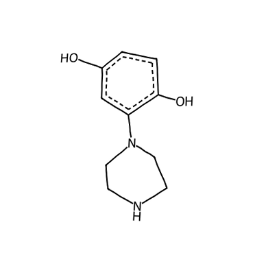 Oc1ccc(O)c(N2CCNCC2)c1